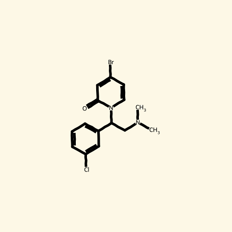 CN(C)CC(c1cccc(Cl)c1)n1ccc(Br)cc1=O